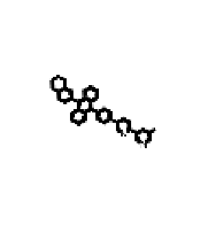 Cc1cncc(-c2ccc(-c3ccc(-c4c5ccccc5c(-c5ccc6c(c5)CCC=C6)c5ccccc45)cc3)cn2)c1